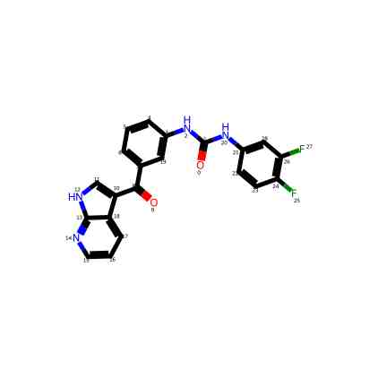 O=C(Nc1cccc(C(=O)c2c[nH]c3ncccc23)c1)Nc1ccc(F)c(F)c1